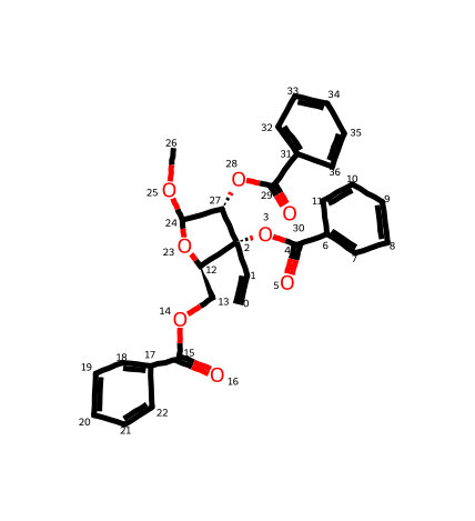 C=C[C@@]1(OC(=O)c2ccccc2)[C@@H](COC(=O)c2ccccc2)OC(OC)[C@@H]1OC(=O)c1ccccc1